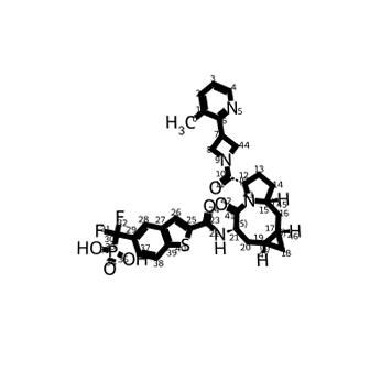 Cc1cccnc1C1CN(C(=O)[C@@H]2CC[C@@H]3C[C@@H]4C[C@@H]4C[C@H](NC(=O)c4cc5cc(C(F)(F)P(=O)(O)O)ccc5s4)C(=O)N32)C1